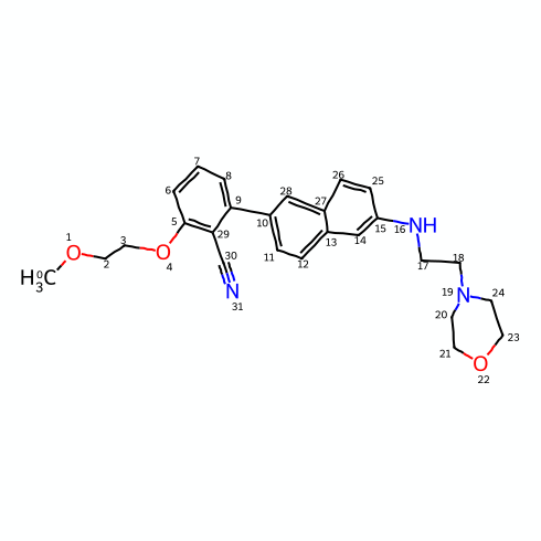 COCCOc1cccc(-c2ccc3cc(NCCN4CCOCC4)ccc3c2)c1C#N